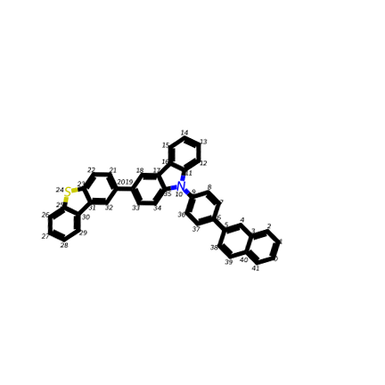 c1ccc2cc(-c3ccc(-n4c5ccccc5c5cc(-c6ccc7sc8ccccc8c7c6)ccc54)cc3)ccc2c1